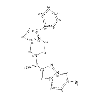 O=C(c1cc2ccc(Br)cn2n1)N1CCn2c(ccc2-c2ccncn2)C1